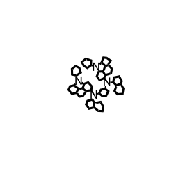 c1ccc(-n2c3cccc4ccc5c(N(c6cccc(N(c7cccc8ccccc78)c7ccc8c9c7ccc7cccc(c79)n8-c7ccccc7)c6)c6cccc7ccccc67)ccc2c5c43)cc1